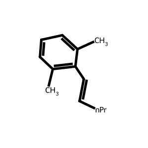 CCCC=Cc1c(C)cccc1C